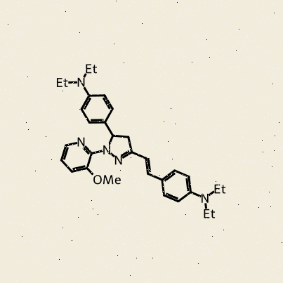 CCN(CC)c1ccc(C=CC2=NN(c3ncccc3OC)C(c3ccc(N(CC)CC)cc3)C2)cc1